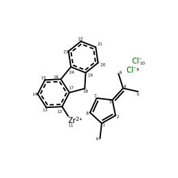 CC1=CC(=C(C)C)C=C1.[Cl-].[Cl-].[Zr+2][c]1cccc2c1Cc1ccccc1-2